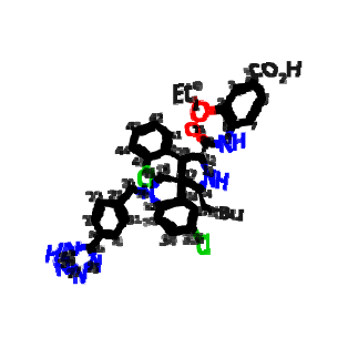 CCOc1cc(C(=O)O)ccc1NC(=O)[C@@H]1N[C@@H](CC(C)(C)C)[C@@]2(CN(Cc3ccc(-c4nnn[nH]4)cc3)c3ccc(Cl)cc32)[C@H]1c1ccccc1Cl